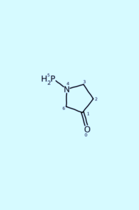 O=C1CCN(P)C1